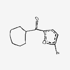 O=C(c1ccc(Br)o1)C1CCCCC1